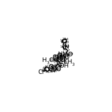 CC(C)CC(NC(Cc1ccn(-c2ccccc2)n1)C(=O)O)C(=O)OC(=O)C(CC(C)C)NC(Cn1ccn(Cc2cccc(Cl)c2)c1=O)C(=O)O